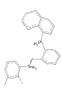 Cc1ccc[c]([SnH2][CH2]c2cccc[c]2[GeH2][c]2cccc3ccccc23)c1C